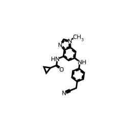 Cn1cnc2c(NC(=O)C3CC3)cc(Nc3ccc(CC#N)cc3)cc21